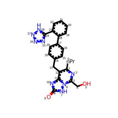 CCCc1nc(CO)n2[nH]c(=O)nc2c1Cc1ccc(-c2ccccc2-c2nnn[nH]2)cc1